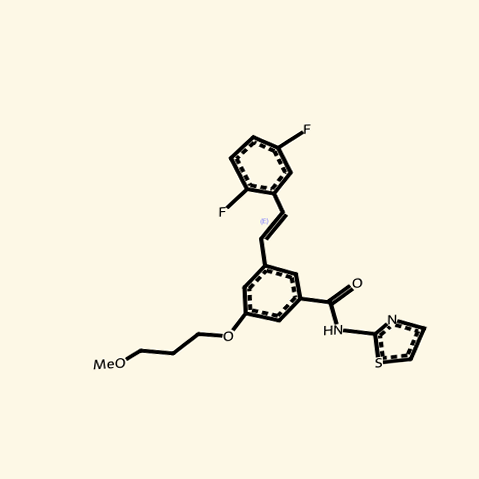 COCCCOc1cc(/C=C/c2cc(F)ccc2F)cc(C(=O)Nc2nccs2)c1